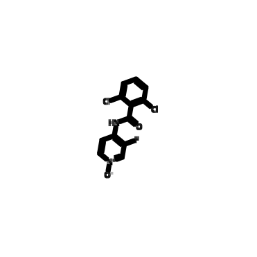 O=C(Nc1cc[n+]([O-])cc1F)c1c(Cl)cccc1Cl